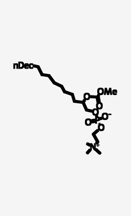 CCCCCCCCCCCCCCCCCCC(COP(=O)([O-])OCC[N+](C)(C)C)OC(=O)OC